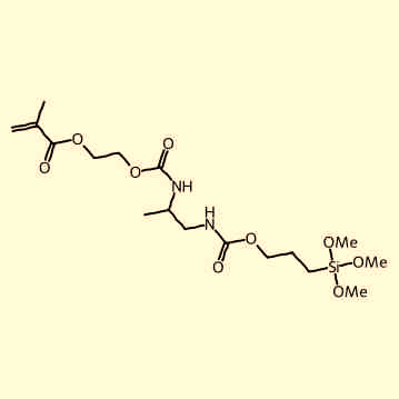 C=C(C)C(=O)OCCOC(=O)NC(C)CNC(=O)OCCC[Si](OC)(OC)OC